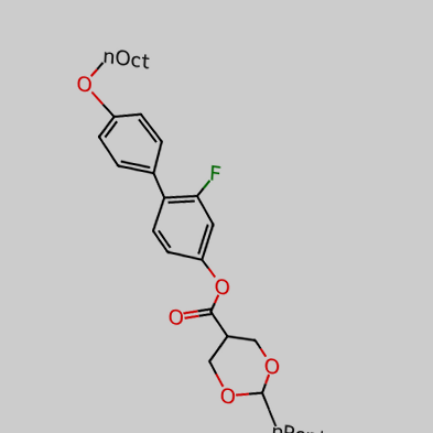 CCCCCCCCOc1ccc(-c2ccc(OC(=O)C3COC(CCCCC)OC3)cc2F)cc1